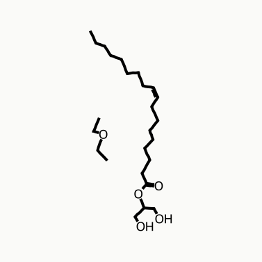 CCCCCCCC/C=C\CCCCCCCC(=O)OC(CO)CO.CCOCC